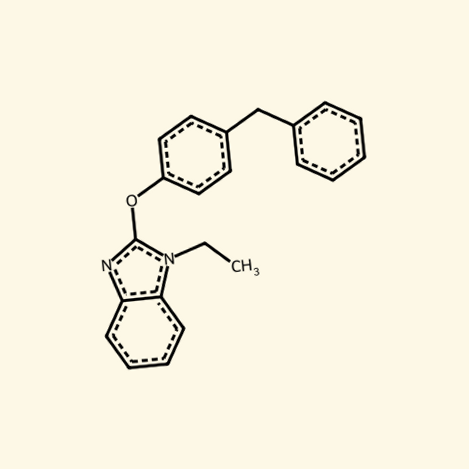 CCn1c(Oc2ccc(Cc3ccccc3)cc2)nc2ccccc21